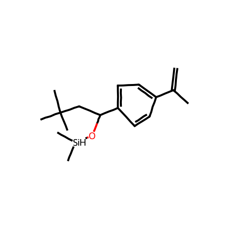 C=C(C)c1ccc(C(CC(C)(C)C)O[SiH](C)C)cc1